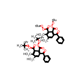 CC(C)(C)OOC(=O)c1c(C(=O)c2ccccc2)cc(C(=O)O)c(C(=O)O)c1C(=O)OOC(C)(C)C.CCCC(C)(C)OOC(=O)c1c(C(=O)c2ccccc2)cc(C(=O)O)c(C(=O)O)c1C(=O)OOC(C)(C)CCC